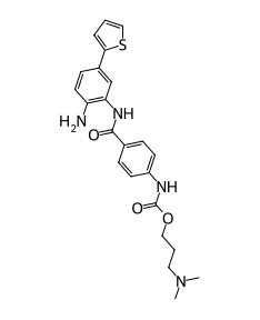 CN(C)CCCOC(=O)Nc1ccc(C(=O)Nc2cc(-c3cccs3)ccc2N)cc1